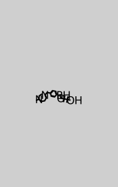 CN1CCCN(Cc2ccc(BOC(C)(C)C(C)(C)O)cc2)CC1